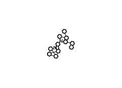 c1ccc(-c2ccccc2-c2ccccc2N(c2ccc(-c3cccc4ccccc34)cc2)c2ccc3c(c2)c2cccc4c2n3-c2ccccc2C42c3ccccc3-c3ccccc32)cc1